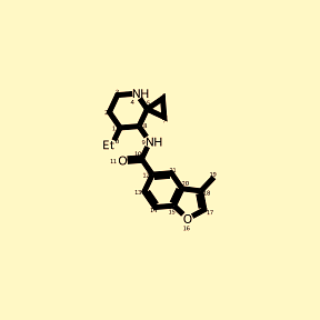 CCC1CCNC2(CC2)C1NC(=O)c1ccc2occ(C)c2c1